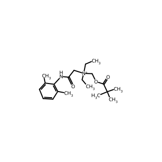 CC[N+](CC)(COC(=O)C(C)(C)C)CC(=O)Nc1c(C)cccc1C